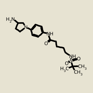 CC(C)(C)S(=O)(=O)NCCCCC(=O)Nc1ccc(N2CCC(N)C2)cc1